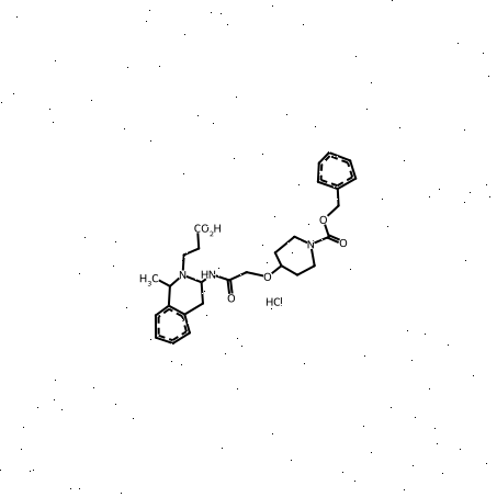 CC1c2ccccc2CC(NC(=O)COC2CCN(C(=O)OCc3ccccc3)CC2)N1CCC(=O)O.Cl